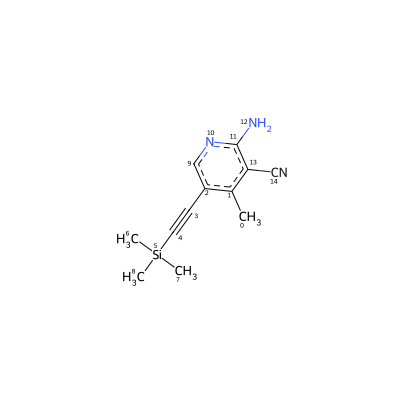 Cc1c(C#C[Si](C)(C)C)cnc(N)c1C#N